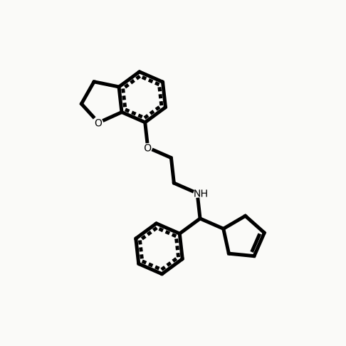 C1=CCC(C(NCCOc2cccc3c2OCC3)c2ccccc2)C1